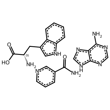 NC(=O)c1cccnc1.N[C@@H](Cc1c[nH]c2ccccc12)C(=O)O.Nc1ncnc2[nH]cnc12